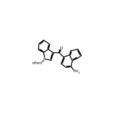 CCCCCn1cc(C(=O)c2ccc(P)c3ccccc23)c2ccccc21